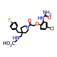 NC(=O)Nc1cc(Cl)ccc1OCC(=O)N1CCC(CNCC(=O)O)(Cc2ccc(F)cc2)CC1